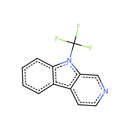 FC(F)(F)n1c2ccccc2c2ccncc21